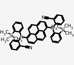 C[Si](C)(C)c1ccccc1N(c1ccccc1C#N)c1ccc2ccc3c(N(c4ccccc4C#N)c4ccccc4[Si](C)(C)C)ccc4ccc1c2c43